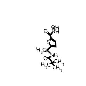 C[C@@H](NC(=O)C(C)(C)C)c1ccc(C(=O)NO)s1